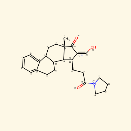 C[C@]12CCC3c4ccccc4CCC3C1[C@H](CCC(=O)N1CCCC1)/C(=C/O)C2=O